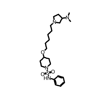 CN(C)C1CCN(CCCCCCOC2CCN(S(=O)(=O)Nc3ccccc3)CC2)C1